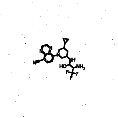 N#Cc1ccc(N2CC(NC(O)C(N)C(F)(F)F)CC(C3CC3)C2)c2nccnc12